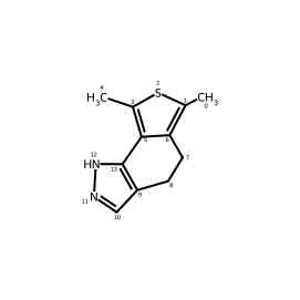 Cc1sc(C)c2c1CCc1cn[nH]c1-2